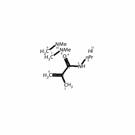 C=C(C)C(=O)NCCC.CNC.CNC.I